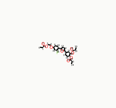 C=CC(=O)O/C=C\Oc1ccc(-c2ccc(-c3ccc(OC(=O)C=C)c(OC(=O)C=C)c3)o2)c(F)c1